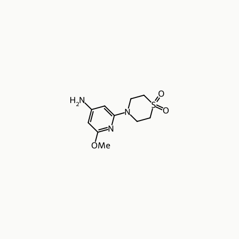 COc1cc(N)cc(N2CCS(=O)(=O)CC2)n1